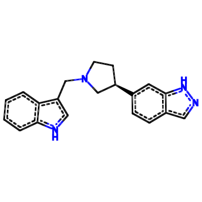 c1ccc2c(CN3CC[C@@H](c4ccc5cn[nH]c5c4)C3)c[nH]c2c1